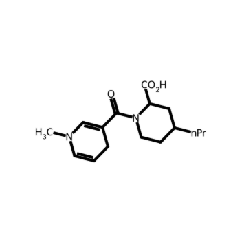 CCCC1CCN(C(=O)C2=CN(C)C=CC2)C(C(=O)O)C1